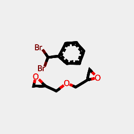 BrC(Br)c1ccccc1.C(OCC1CO1)C1CO1